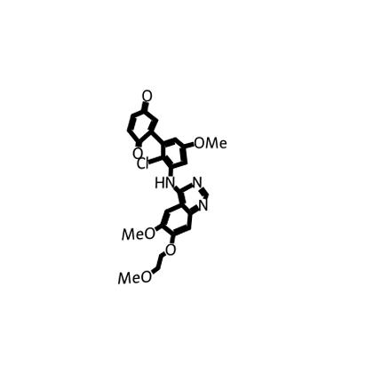 COCCOc1cc2ncnc(Nc3cc(OC)cc(C4=CC(=O)C=CC4=O)c3Cl)c2cc1OC